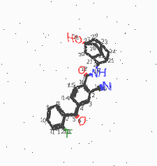 N#Cc1cc(C(=O)c2ccccc2F)ccc1C(=O)NC1C2CC3CC1CC(O)(C3)C2